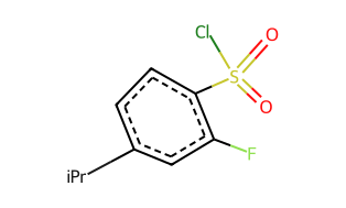 CC(C)c1ccc(S(=O)(=O)Cl)c(F)c1